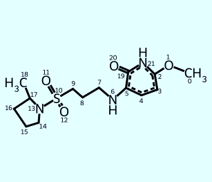 COc1ccc(NCCCS(=O)(=O)N2CCCC2C)c(=O)[nH]1